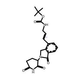 CC(C)(C)OC(=O)NC/C=C/c1cccc2c1CN(C1CCC(=O)NC1=O)C2=O